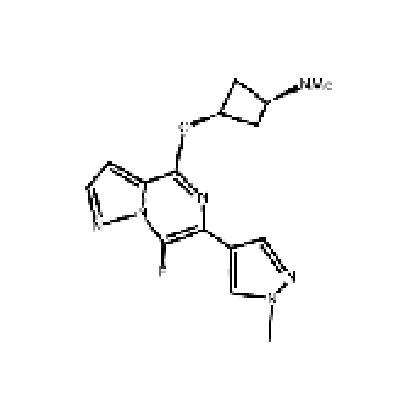 CN[C@H]1C[C@@H](Oc2nc(-c3cnn(C)c3)c(F)n3nccc23)C1